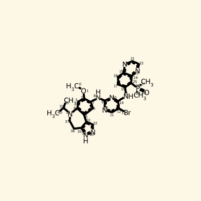 COc1cc2c(cc1Nc1ncc(Br)c(Nc3ccc4nccnc4c3P(C)(C)=O)n1)-c1cn[nH]c1CCN2C(C)C